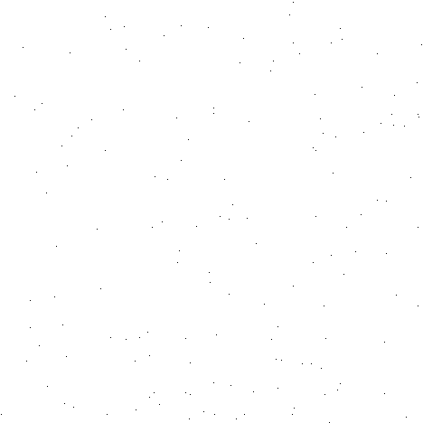 CCC1=CCc2c(C)ccc(C)c21